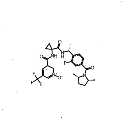 C[C@@H]1CC[C@H](C)N1C(=O)c1ccc([C@@H](C)NC(=O)C2(NC(=O)C3C=C(C(F)(F)F)C=[N+]([O-])C3)CC2)c(F)c1